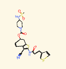 CS(=O)(=O)NC1CCN(C(=O)OC2CCc3c(sc(NC(=O)C=Cc4ccsc4)c3C#N)C2)CC1